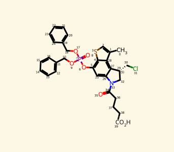 Cc1csc2c(OP(=O)(OCc3ccccc3)OCc3ccccc3)cc3c(c12)[C@H](CCl)CN3C(=O)CCCC(=O)O